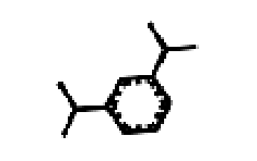 CC(C)c1c[c]cc(C(C)C)c1